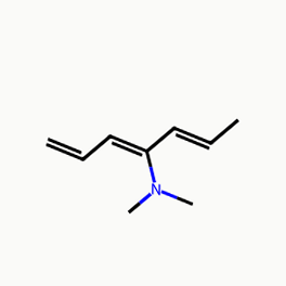 C=C/C=C(/C=C/C)N(C)C